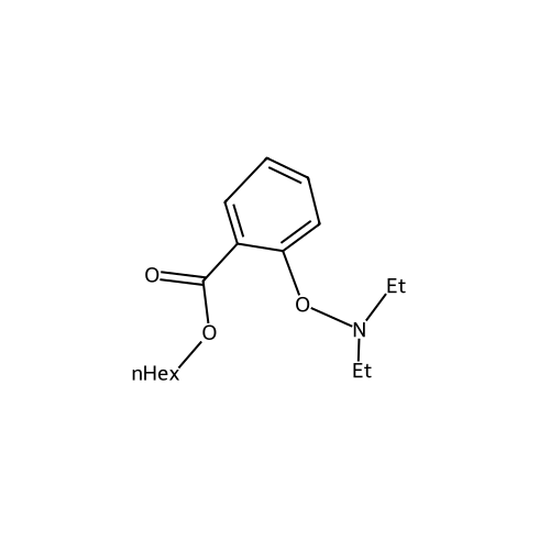 CCCCCCOC(=O)c1ccccc1ON(CC)CC